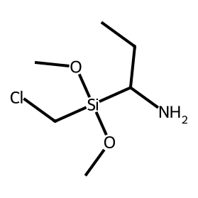 CCC(N)[Si](CCl)(OC)OC